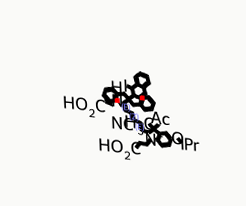 CC(=O)CC1(C)C(/C=C/C(C#N)=C/C=C(/NCCC(=O)O)C(Cc2ccccc2)(Cc2ccccc2)C2C=Cc3ccccc3C2I)=[N+](CCC(=O)O)C2C=CC(OC(C)C)=CC21